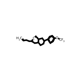 C=CCCC1CCC2CC(c3ccc(OC(F)(F)F)cc3)CCC2C1